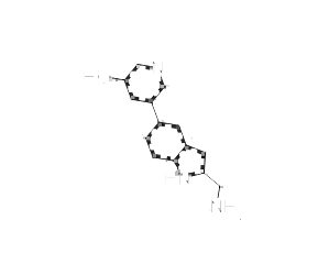 NCc1cc2cc(-c3cncc(O)c3)ccc2[nH]1